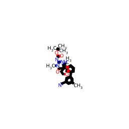 Cc1cc(C#N)cc(-c2cccc(C3(C)N/C(=N\C(=O)OC(C)(C)C)N(C)C(=O)C34CCOCC4)c2)c1